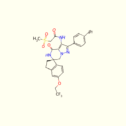 CC(C)c1ccc(-c2nn3c(c2NC(=O)CS(C)(=O)=O)C(=O)N[C@]2(CCc4cc(OCC(F)(F)F)ccc42)C3)cc1